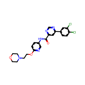 O=C(Nc1ccc(OCCN2CCOCC2)nc1)c1cc(-c2ccc(Cl)c(Cl)c2)ncn1